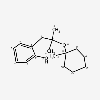 CC(C)(Cc1ccccc1O)OC1(C)CCCCC1